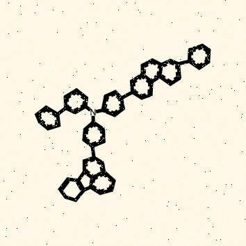 C1=CC2=C(CC1)c1cccc3cc(-c4ccc(N(c5ccc(-c6ccc7c(ccc8cc(-c9ccccc9)ccc87)c6)cc5)c5cccc(-c6ccccc6)c5)cc4)cc2c13